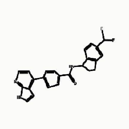 O=C(NC1CCc2cc(C(F)F)ccc21)c1ccc(-c2ccnc3[nH]ccc23)cc1